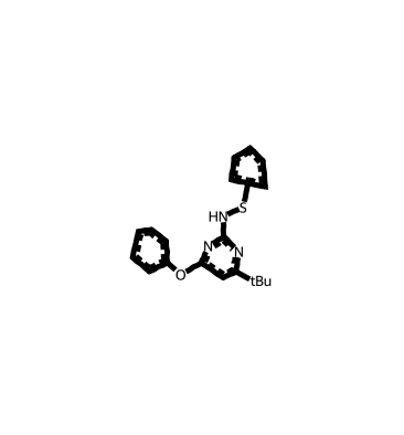 CC(C)(C)c1cc(Oc2ccccc2)nc(NSc2ccccc2)n1